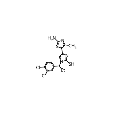 CCC(c1ccc(Cl)c(Cl)c1)n1cc(-c2sc(N)nc2C)nc1S